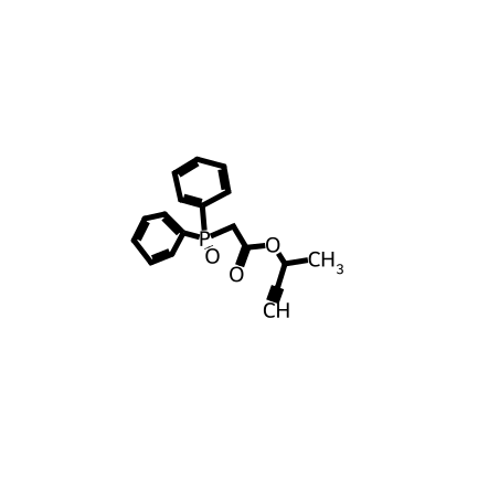 C#CC(C)OC(=O)CP(=O)(c1ccccc1)c1ccccc1